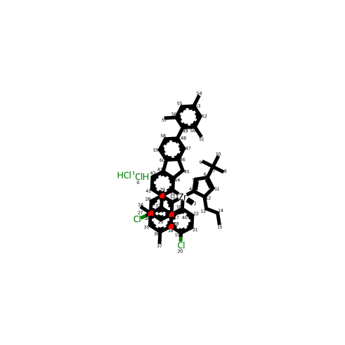 Cl.Cl.[CH2]=[Zr]([C]1=CC(C(C)(C)C)=CC1CCC)([c]1ccc(Cl)cc1)([c]1ccc(Cl)cc1)[c]1c(-c2c(C)cc(C)cc2C)ccc2c1Cc1cc(-c3c(C)cc(C)cc3C)ccc1-2